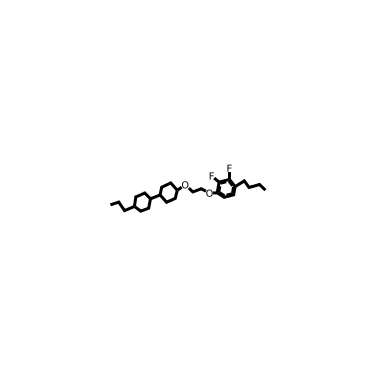 CCCCc1ccc(OCCOC2CCC(C3CCC(CCC)CC3)CC2)c(F)c1F